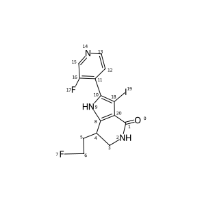 O=C1NCC(CCF)c2[nH]c(-c3ccncc3F)c(I)c21